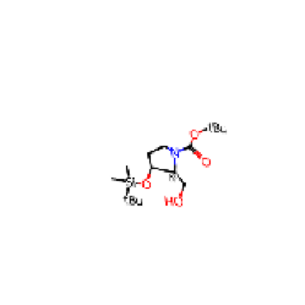 CC(C)(C)OC(=O)N1CCC(O[Si](C)(C)C(C)(C)C)[C@@H]1CO